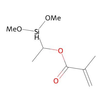 C=C(C)C(=O)OC(C)[SiH](OC)OC